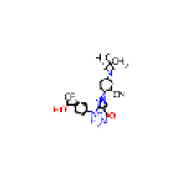 CC1(C)CN(C2CCC(n3cc(C(N)=O)c(Nc4ccc(C(O)C(F)(F)F)cc4)n3)C(C#N)C2)C1